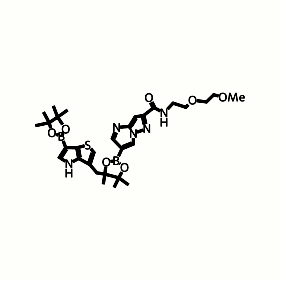 COCCOCCNC(=O)c1cc2ncc(B3OC(C)(C)C(C)(Cc4csc5c(B6OC(C)(C)C(C)(C)O6)c[nH]c45)O3)cn2n1